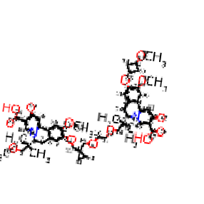 COCC(C)(C)[C@@H]1Cc2cc(OCC3(COCCOCC(C)(C)[C@@H]4Cc5cc(O[C@H]6C[C@H](OC)C6)c(OC)cc5-c5cc(=O)c(C(=O)O)cn54)CC3)c(OC)cc2-c2cc(=O)c(C(=O)O)cn21